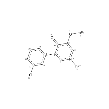 CCCOc1cn(CCC)cc(-c2cccc(Cl)c2)c1=O